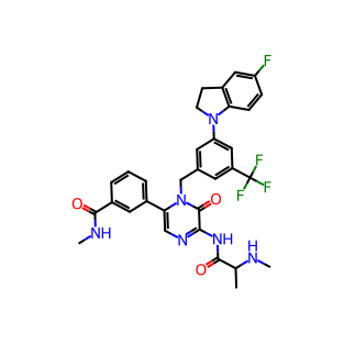 CNC(=O)c1cccc(-c2cnc(NC(=O)C(C)NC)c(=O)n2Cc2cc(N3CCc4cc(F)ccc43)cc(C(F)(F)F)c2)c1